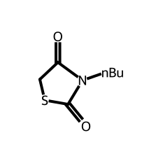 CCCCN1C(=O)CSC1=O